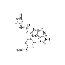 N#CC[C@H]1CC[C@H](n2c(CC(=O)Nc3cn[nH]c3)nc3cnc4[nH]ccc4c32)CC1